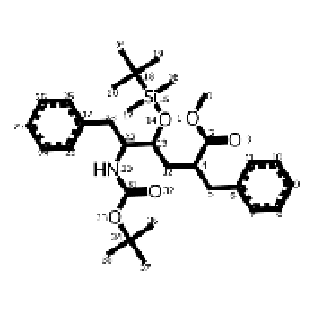 COC(=O)C(Cc1ccccc1)CC(O[Si](C)(C)C(C)(C)C)C(Cc1ccccc1)NC(=O)OC(C)(C)C